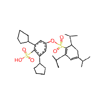 CC(C)C1=CC(C(C)C)=C(S(=O)(=O)Oc2cc(C3CCCC3)c(S(=O)(=O)O)c(C3CCCC3)c2)C(C(C)C)C1